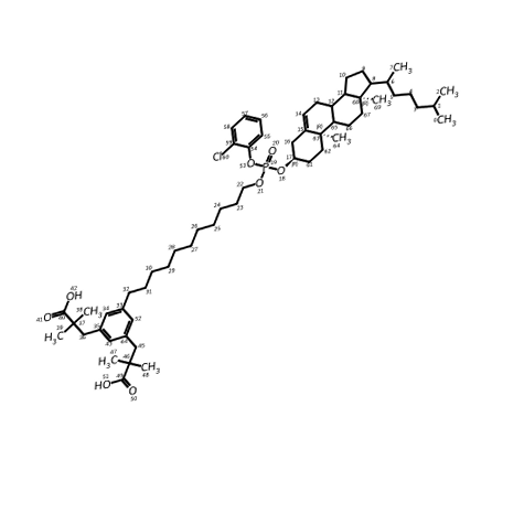 CC(C)CCCC(C)C1CCC2C3CC=C4C[C@H](OP(=O)(OCCCCCCCCCCCc5cc(CC(C)(C)C(=O)O)cc(CC(C)(C)C(=O)O)c5)Oc5ccccc5Cl)CC[C@]4(C)C3CC[C@]12C